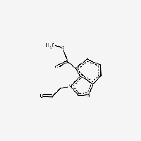 COC(=O)c1cccc2ncn(CC=O)c12